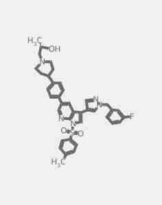 Cc1ccc(S(=O)(=O)n2cc(-c3cnn(Cc4cccc(F)c4)c3)c3cc(-c4ccc(C5CCN(C[C@H](C)O)CC5)cc4)cnc32)cc1